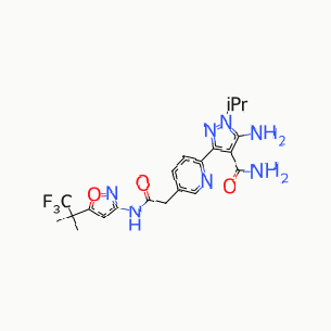 CC(C)n1nc(-c2ccc(CC(=O)Nc3cc(C(C)(C)C(F)(F)F)on3)cn2)c(C(N)=O)c1N